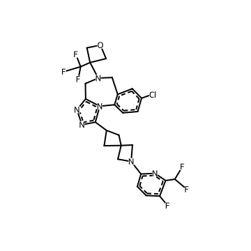 Fc1ccc(N2CC3(CC(c4nnc5n4-c4ccc(Cl)cc4CN(C4(C(F)(F)F)COC4)C5)C3)C2)nc1C(F)F